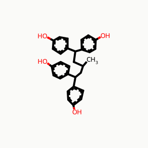 CC(CC(c1ccc(O)cc1)c1ccc(O)cc1)CC(c1ccc(O)cc1)c1ccc(O)cc1